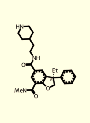 CC[C@]1(c2ccccc2)COc2c(C(=O)NC)cc(C(=O)NCCC3CCNCC3)cc21